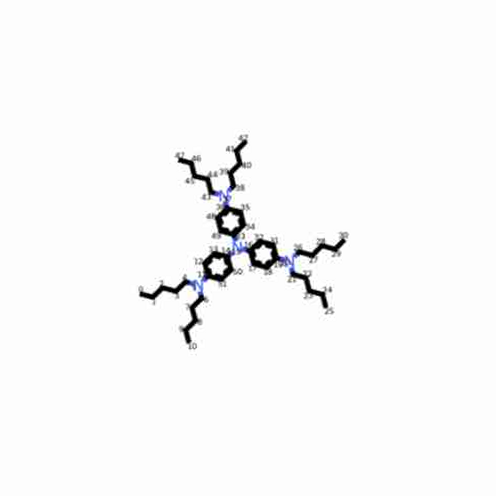 CCCCCN(CCCCC)c1ccc(N(c2ccc(N(CCCCC)CCCCC)cc2)c2ccc(N(CCCCC)CCCCC)cc2)cc1